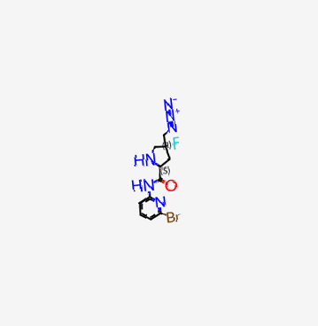 [N-]=[N+]=NC[C@]1(F)CN[C@H](C(=O)Nc2cccc(Br)n2)C1